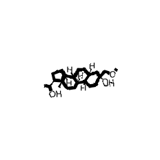 COC[C@@]1(O)CC[C@H]2[C@@H](CC[C@@H]3[C@@H]2CC[C@]2(C)[C@@H](C(C)O)CC[C@@H]32)C1